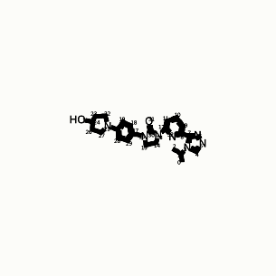 CC(C)n1cnnc1-c1cccc(N2CCN(c3ccc(N4CCC(O)CC4)cc3)C2=O)n1